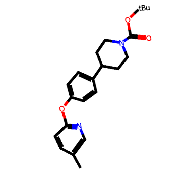 Cc1ccc(Oc2ccc(C3CCN(C(=O)OC(C)(C)C)CC3)cc2)nc1